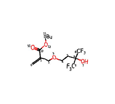 C=C(COCCC(O)(C(F)(F)F)C(F)(F)F)C(=O)OCCCC